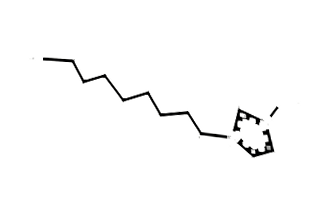 CCCCCCCCCCCCCCCCCCn1cc[n+](CCCCCCC)c1